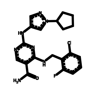 NC(=O)c1cnc(Nc2cnn(C3CCCC3)c2)nc1NCc1c(F)cccc1Cl